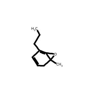 CCCC1=C2OC2(C)CC=C1